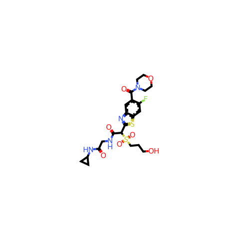 O=C(CNC(=O)C(c1nc2cc(C(=O)N3CCOCC3)c(F)cc2s1)S(=O)(=O)CCCO)NC1CC1